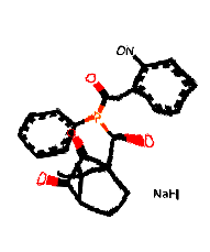 CC1(C)C2CCC1(C(=O)P(C(=O)c1ccccc1N=O)c1ccccc1)C(=O)C2=O.[NaH]